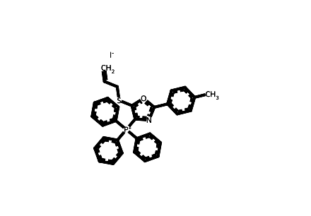 C=CCSc1oc(-c2ccc(C)cc2)nc1[P+](c1ccccc1)(c1ccccc1)c1ccccc1.[I-]